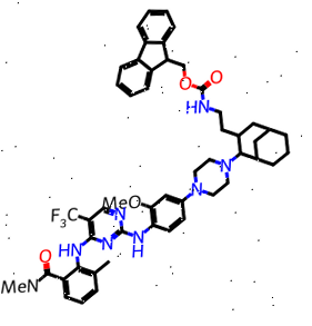 CNC(=O)c1cccc(C)c1Nc1nc(Nc2ccc(N3CCN(C4C5CCCC(C5)CC4CCNC(=O)OCC4c5ccccc5-c5ccccc54)CC3)cc2OC)ncc1C(F)(F)F